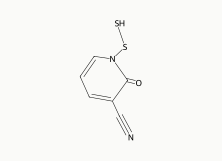 N#Cc1cccn(SS)c1=O